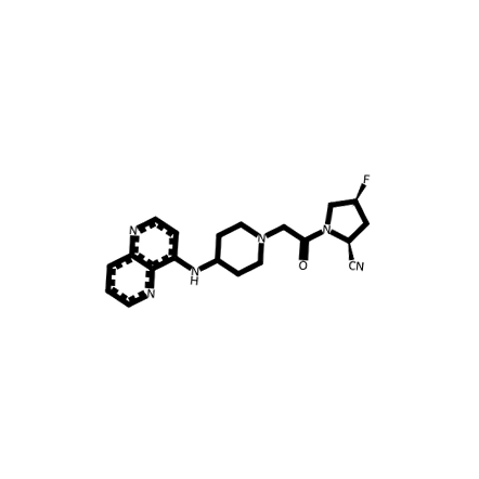 N#C[C@@H]1C[C@H](F)CN1C(=O)CN1CCC(Nc2ccnc3cccnc23)CC1